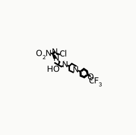 CN(CC(C)(O)Cn1cc([N+](=O)[O-])nc1Cl)C1CCN(c2ccc(OC(F)(F)F)cc2)CC1